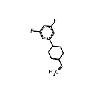 C=CC1CCC(c2cc(F)cc(F)c2)CC1